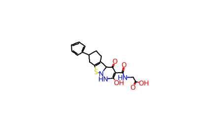 O=C(O)CNC(=O)C1=C(O)NN2SC3=C(CCC(c4ccccc4)C3)C2C1=O